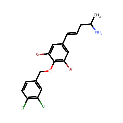 CC(N)CC=Cc1cc(Br)c(OCc2ccc(Cl)c(Cl)c2)c(Br)c1